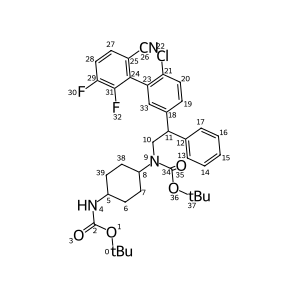 CC(C)(C)OC(=O)NC1CCC(N(CC(c2ccccc2)c2ccc(Cl)c(-c3c(C#N)ccc(F)c3F)c2)C(=O)OC(C)(C)C)CC1